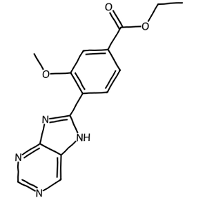 CCOC(=O)c1ccc(-c2nc3ncncc3[nH]2)c(OC)c1